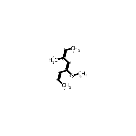 C\C=C/C(=C\C(C)=C/C)SC